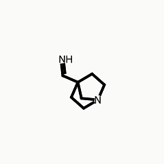 N=CC12CCN(CC1)C2